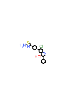 Nc1nc(-c2ccc(-c3cc4c(O)c(-c5ccccc5)cnc4cc3Cl)cc2)cs1